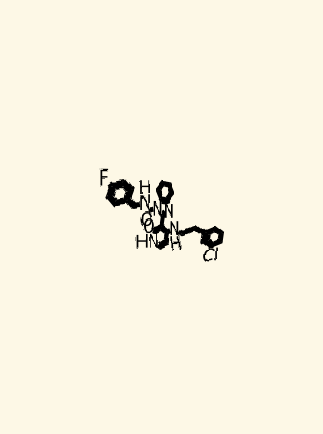 O=C(NCc1ccc(F)cc1)n1c(-c2c(NCCc3cccc(Cl)c3)cc[nH]c2=O)nc2ccccc21